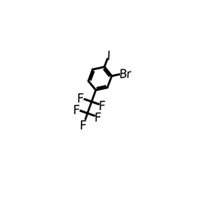 FC(F)(F)C(F)(F)c1ccc(I)c(Br)c1